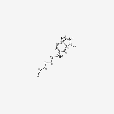 Cc1n[nH]c2ccc(NSCCCCF)cc12